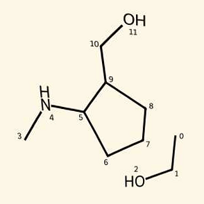 CCO.CNC1CCCC1CO